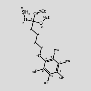 CCOC(CCCCOc1c(F)c(F)c(F)c(F)c1F)(O[SiH3])OCC